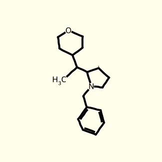 CC(C1CCOCC1)C1[CH]CCN1Cc1ccccc1